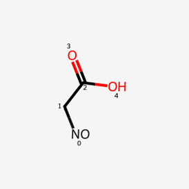 O=N[CH]C(=O)O